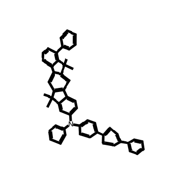 CC1(C)c2cc(N(c3ccccc3)c3ccc(-c4ccc(-c5ccccc5)cc4)cc3)ccc2-c2cc3c(cc21)-c1cccc(-c2ccccc2)c1C3(C)C